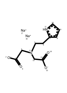 O=C([O-])CN(CCc1ccc[nH]1)CC(=O)[O-].[Na+].[Na+]